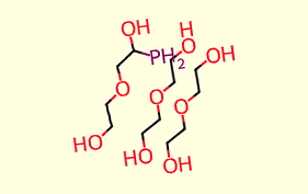 OCCOCC(O)P.OCCOCCO.OCCOCCO